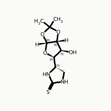 CC1(C)O[C@H]2O[C@H]([C@@H]3CNC(=S)N3)[C@H](O)[C@H]2O1